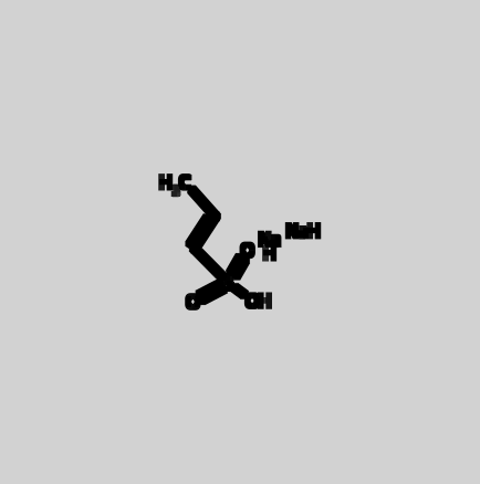 CC=CS(=O)(=O)O.[NaH].[NaH]